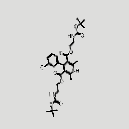 CC1=C(C(=O)OCCNC(=O)OC(C)(C)C)C(c2cccc(Cl)c2)C(C(=O)OCCNC(=O)OC(C)(C)C)=C(C)N1